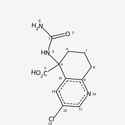 NC(=O)NC1(C(=O)O)CCCc2ncc(Cl)cc21